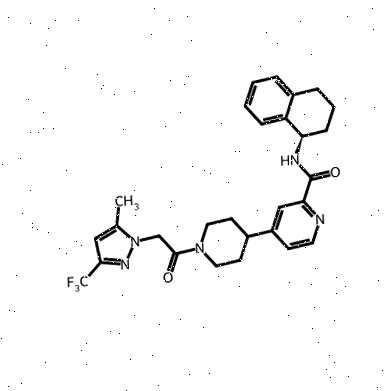 Cc1cc(C(F)(F)F)nn1CC(=O)N1CCC(c2ccnc(C(=O)N[C@@H]3CCCc4ccccc43)c2)CC1